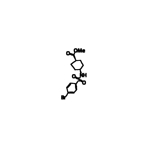 COC(=O)[C@H]1CC[C@@H](NS(=O)(=O)c2ccc(Br)cc2)CC1